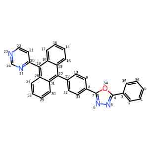 c1ccc(-c2nnc(-c3ccc(-c4c5ccccc5c(-c5ccncn5)c5ccccc45)cc3)o2)cc1